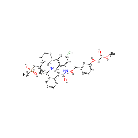 C=C1c2ccccc2[C@@H](C(=O)NOCc2cccc(OCC(=O)OC(C)(C)C)c2)[C@H](c2ccc(Cl)cc2)N1[C@H]1CCCC[C@@H]1C(CC)CS(C)(=O)=O